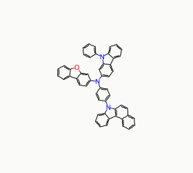 c1ccc(-n2c3ccccc3c3ccc(N(c4ccc(-n5c6ccccc6c6c7ccccc7ccc65)cc4)c4ccc5c(c4)oc4ccccc45)cc32)cc1